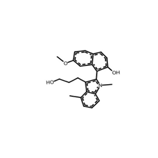 COc1ccc2ccc(O)c(-c3c(CCCO)c4c(C)cccc4n3C)c2c1